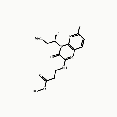 CC[C@H](COC)n1c(=O)c(NCCC(=O)OC(C)(C)C)nc2ccc(Cl)nc21